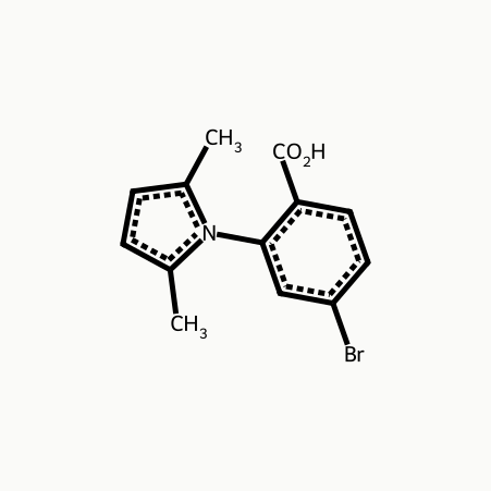 Cc1ccc(C)n1-c1cc(Br)ccc1C(=O)O